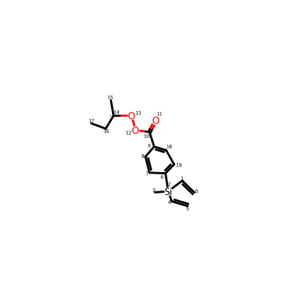 C=C[Si](C)(C=C)c1ccc(C(=O)OO[C](C)CC)cc1